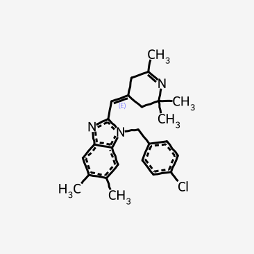 CC1=NC(C)(C)C/C(=C\c2nc3cc(C)c(C)cc3n2Cc2ccc(Cl)cc2)C1